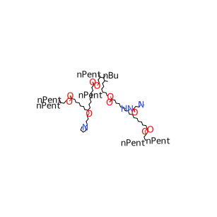 CCCCCC(CCCCC)CCOC(=O)CCCCCCCCC(CCCCCCC(=O)OCCC(CCCCC)CCCC(C)C(CCCC)C(CCCCC)CCOC(=O)CCCCCCCCC(CCCCCCC(=O)OCCC(CCCCC)CCCCC)OCCCCN1CCCC1)NC(=O)CCN(C)C